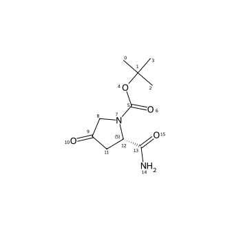 CC(C)(C)OC(=O)N1CC(=O)C[C@H]1C(N)=O